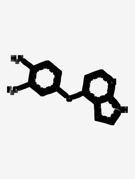 Nc1ccc(Oc2ccnc3[nH]ccc23)cc1C(F)(F)F